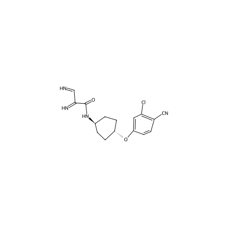 N#Cc1ccc(O[C@H]2CC[C@H](NC(=O)C(=N)C=N)CC2)cc1Cl